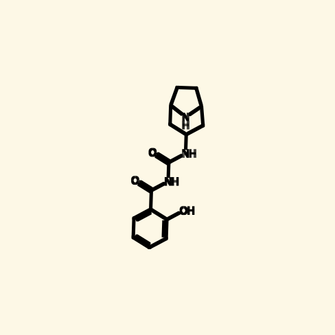 O=C(NC(=O)c1ccccc1O)NC1CC2CCC(C1)N2